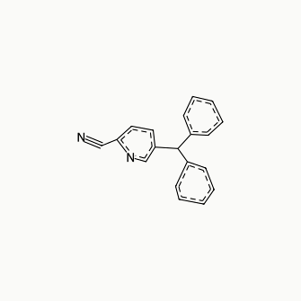 N#Cc1ccc(C(c2ccccc2)c2ccccc2)cn1